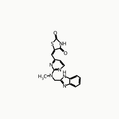 CN(Cc1nc2ccccc2[nH]1)c1nccc(C=C2SC(=O)NC2=O)n1